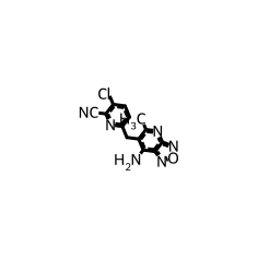 Cc1nc2nonc2c(N)c1Cc1ccc(Cl)c(C#N)n1